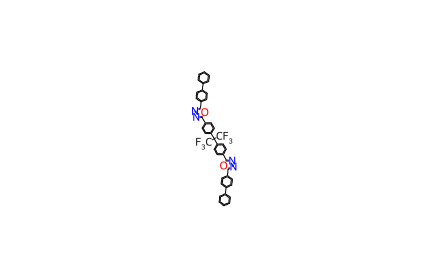 FC(F)(F)C(c1ccc(-c2nnc(-c3ccc(-c4ccccc4)cc3)o2)cc1)(c1ccc(-c2nnc(-c3ccc(-c4ccccc4)cc3)o2)cc1)C(F)(F)F